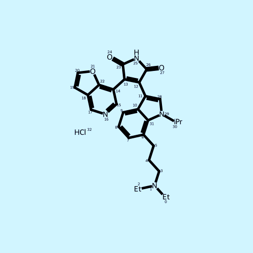 CCN(CC)CCCc1cccc2c(C3=C(c4cncc5ccoc45)C(=O)NC3=O)cn(C(C)C)c12.Cl